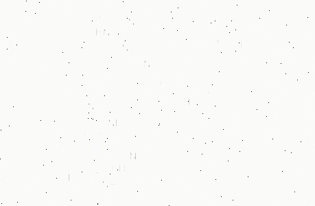 CNc1ncc2cc(-c3cc(OC)cc(OC)c3)c(=O)n(CCc3ccnc(NC(=O)/C(C#N)=C/C(C)(C)N)c3)c2n1